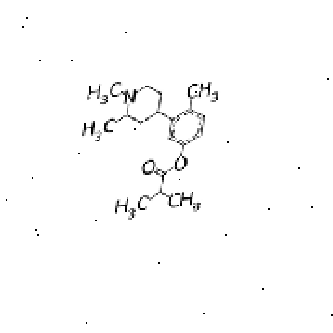 Cc1ccc(OC(=O)C(C)C)cc1C1CCN(C)C(C)C1